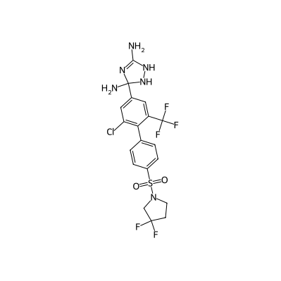 NC1=NC(N)(c2cc(Cl)c(-c3ccc(S(=O)(=O)N4CCC(F)(F)C4)cc3)c(C(F)(F)F)c2)NN1